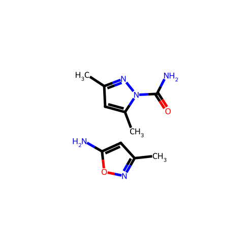 Cc1cc(C)n(C(N)=O)n1.Cc1cc(N)on1